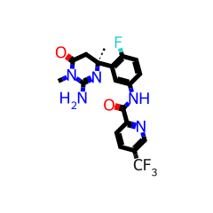 CN1C(=O)C[C@@](C)(c2cc(NC(=O)c3ccc(C(F)(F)F)cn3)ccc2F)N=C1N